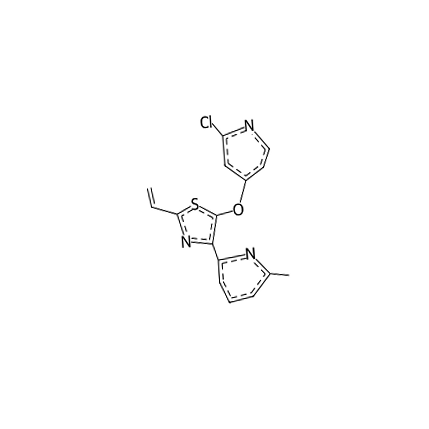 C=Cc1nc(-c2cccc(C)n2)c(Oc2ccnc(Cl)c2)s1